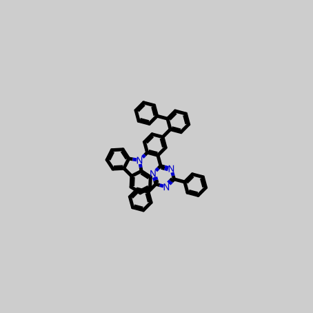 c1ccc(-c2nc(-c3ccccc3)nc(-c3cc(-c4ccccc4-c4ccccc4)ccc3-n3c4ccccc4c4ccccc43)n2)cc1